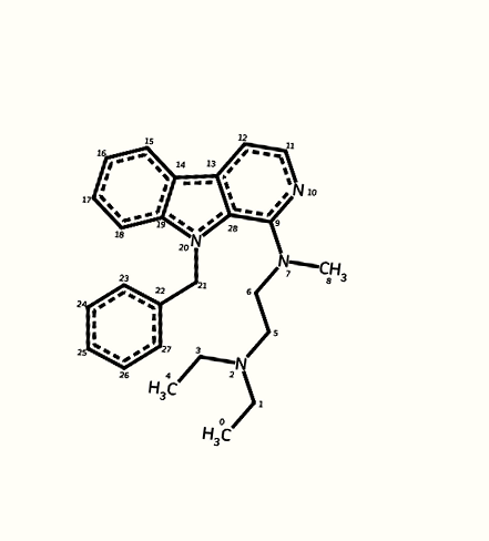 CCN(CC)CCN(C)c1nccc2c3ccccc3n(Cc3ccccc3)c12